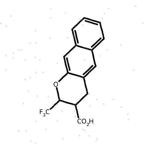 O=C(O)C1Cc2cc3ccccc3cc2OC1C(F)(F)F